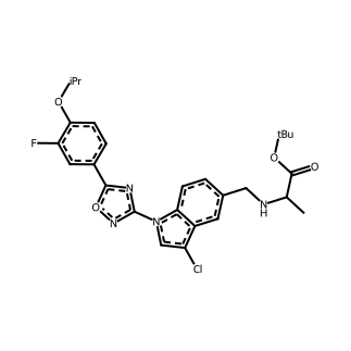 CC(C)Oc1ccc(-c2nc(-n3cc(Cl)c4cc(CNC(C)C(=O)OC(C)(C)C)ccc43)no2)cc1F